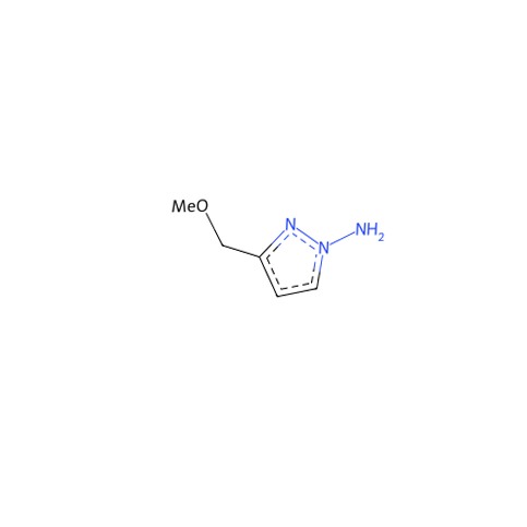 COCc1ccn(N)n1